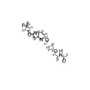 CC(=O)N[C@@H](C)CO[C@H]1C[C@H](COc2ccc3nc(OC4CC(F)(F)C4)sc3n2)C1